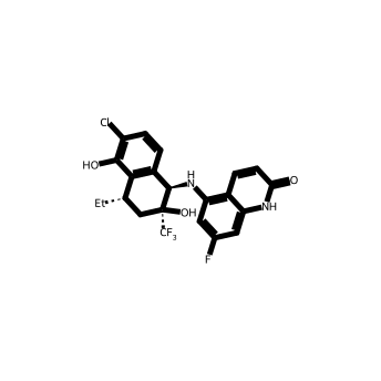 CC[C@H]1C[C@@](O)(C(F)(F)F)[C@H](Nc2cc(F)cc3[nH]c(=O)ccc23)c2ccc(Cl)c(O)c21